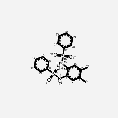 Cc1cc(NS(=O)(=O)c2ccccc2)c(NS(=O)(=O)c2ccccc2)cc1C